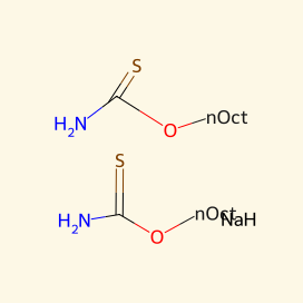 CCCCCCCCOC(N)=S.CCCCCCCCOC(N)=S.[NaH]